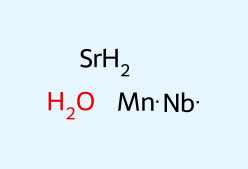 O.[Mn].[Nb].[SrH2]